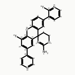 NC1=NC2(CCO1)c1cc(-c3cccnc3F)ccc1Oc1c(F)cc(-c3ccncc3)cc12